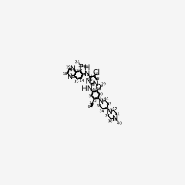 C#Cc1cc(Nc2ncc(Cl)c(Nc3ccc4nccnc4c3P(C)C)n2)c(OC)cc1N1CCC(N2CCN(C)CC2)CC1